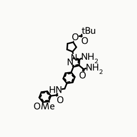 COc1ccccc1C(=O)NCc1ccc(-c2nn(C3CC[C@H](OC(=O)C(C)(C)C)C3)c(N)c2C(N)=O)cc1